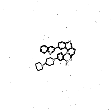 CCOc1cc(N2CCC(N3CCCCC3)CC2)ccc1-n1c(=O)ccc2cnc3ccc(-c4cnc5ccccc5c4)cc3c21